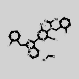 Nc1nc(-c2nc(Cc3ccccc3F)n3ncccc23)nc(N)c1N(Cc1ccccc1F)C(=O)O.O=CO